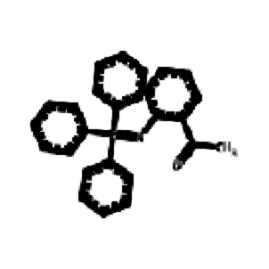 CC(=O)c1ccccc1N=P(c1ccccc1)(c1ccccc1)c1ccccc1